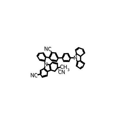 C[C@]1(C#N)C=Cc2c(c3ccc(C#N)cc3n2-c2ccccc2-c2ccc(-c3ccc(N4c5ccccc5C5C=CC=CC54)cc3)cc2C#N)C1